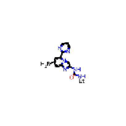 Bc1cc(-c2ncccn2)n2cc(NC(=O)NCC)nc2c1